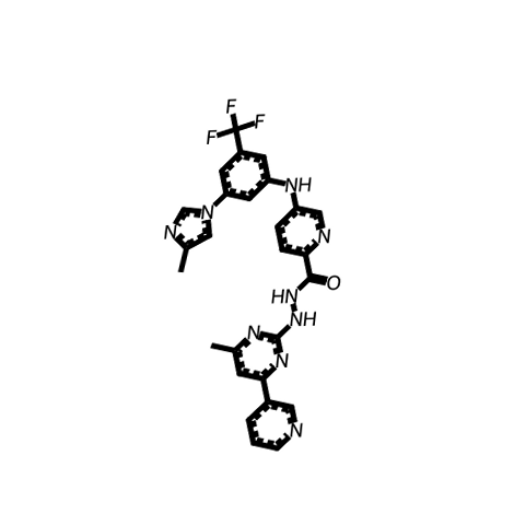 Cc1cn(-c2cc(Nc3ccc(C(=O)NNc4nc(C)cc(-c5cccnc5)n4)nc3)cc(C(F)(F)F)c2)cn1